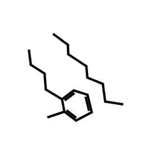 CCCCCCCC.CCCCc1ccccc1C